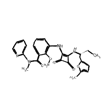 CC[C@@H](Nc1c(Nc2cccc(C(=O)N(C)c3ccccn3)c2ON)c(=O)c1=O)c1ccc(C)o1